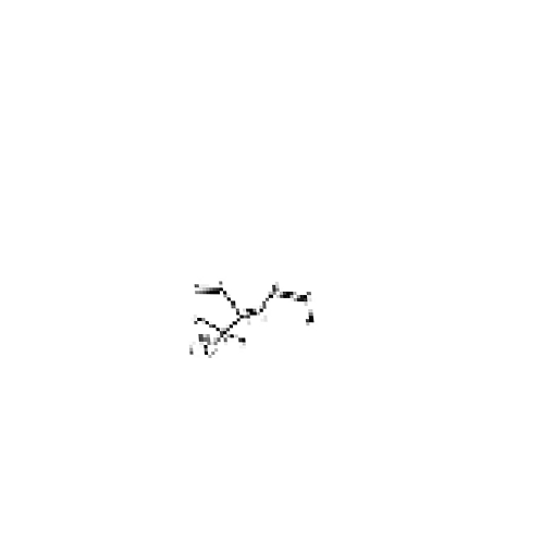 C=C/C(=C\C=C/C)C(C)(C)O